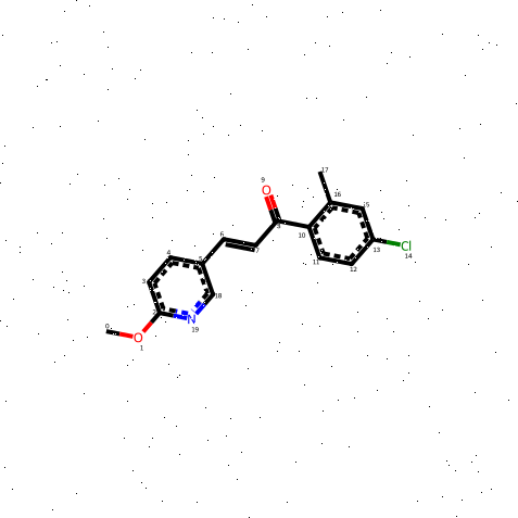 COc1ccc(/C=C/C(=O)c2ccc(Cl)cc2C)cn1